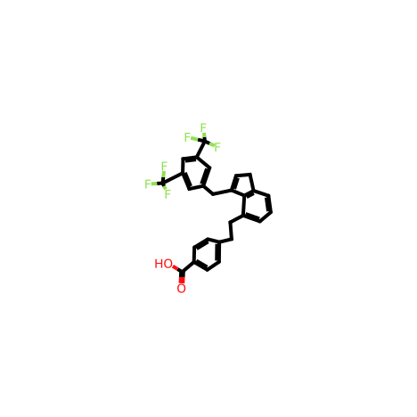 O=C(O)c1ccc(CCc2cccc3c2C(Cc2cc(C(F)(F)F)cc(C(F)(F)F)c2)=CC3)cc1